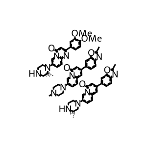 COc1ccc(-c2cc(=O)n3cc(N4CCNC[C@H]4C)ccc3n2)cc1OC.Cc1nc2ccc(-c3cc(=O)n4cc(N5CCN(C)CC5)ccc4c3)cc2o1.Cc1nc2ccc(-c3cc(=O)n4cc(N5CCN[C@@H](C)C5)ccc4c3)cc2o1